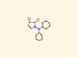 O=C1C=CN(N(c2ccccc2)c2ccccc2)C1=O